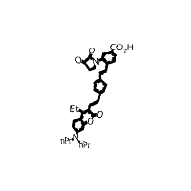 CCCN(CCC)c1ccc2c(CC)c(/C=C/c3ccc(/C=C/c4ccc(C(=O)O)cc4N4CCC(=O)C4=O)cc3)c(=O)oc2c1